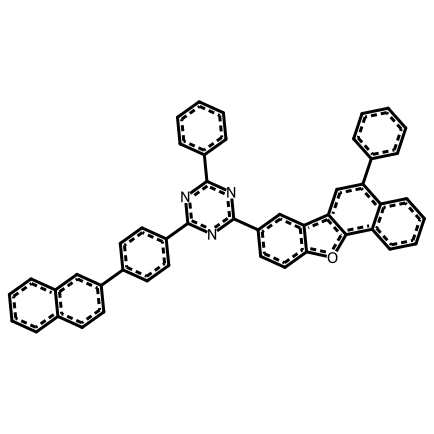 c1ccc(-c2nc(-c3ccc(-c4ccc5ccccc5c4)cc3)nc(-c3ccc4oc5c6ccccc6c(-c6ccccc6)cc5c4c3)n2)cc1